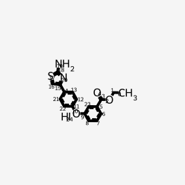 CCOC(=O)c1cccc(Oc2ccc(-c3csc(N)n3)cc2)c1.I